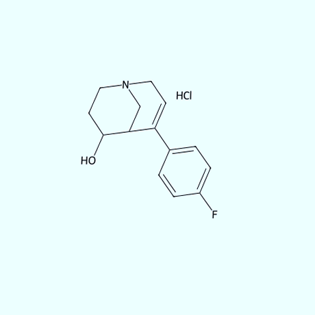 Cl.OC1CCN2CC=C(c3ccc(F)cc3)C1C2